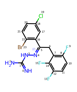 N=C(N)N/N=C(/Cc1c(F)ccc(F)c1F)c1cc(Cl)ccc1Br